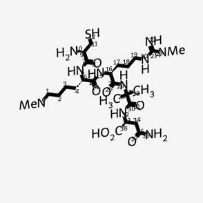 CNCCCC[C@H](NC(=O)[C@@H](N)CS)C(=O)N[C@@H](CCCNC(=N)NC)C(=O)NC(C)(C)C(=O)N[C@@H](CC(N)=O)C(=O)O